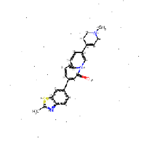 Cc1nc2ccc(C3=C\C(=O)N4C=C(C5=CCN(C)CC5)C=C\C4=C/C=C/3)cc2s1